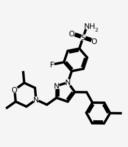 Cc1cccc(Cc2cc(CN3CC(C)OC(C)C3)nn2-c2ccc(S(N)(=O)=O)cc2F)c1